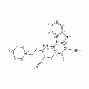 C#Cc1c(C)c(CCC#N)c(NCCCN2CCOCC2)n2c1nc1ccccc12